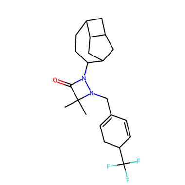 CC1(C)C(=O)N(C2CCC3CC4CC2CC34)N1CC1=CCC(C(F)(F)F)C=C1